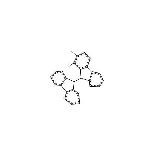 O=[N+]([O-])c1c(Cl)ccc2c1C(C1c3ccccc3-c3ccccc31)c1ccccc1-2